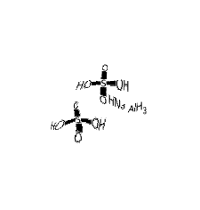 O=S(=O)(O)O.O=S(=O)(O)O.[AlH3].[NaH]